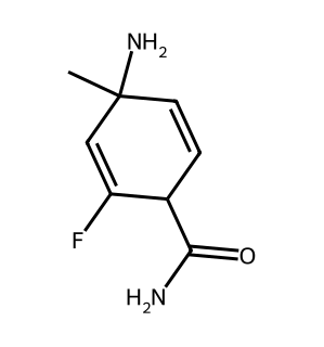 CC1(N)C=CC(C(N)=O)C(F)=C1